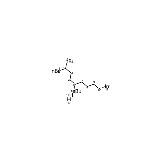 CCCCC(CCCC)CCC(CCCC)CCC[CH2][In].[H-].[H-]